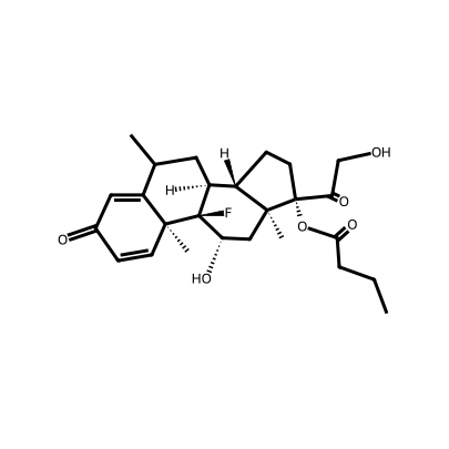 CCCC(=O)O[C@@]1(C(=O)CO)CC[C@H]2[C@@H]3CC(C)C4=CC(=O)C=C[C@]4(C)[C@@]3(F)[C@@H](O)C[C@@]21C